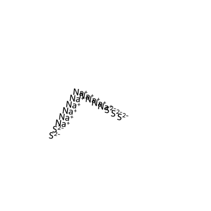 [Na+].[Na+].[Na+].[Na+].[Na+].[Na+].[Na+].[Na+].[Na+].[Na+].[S-2].[S-2].[S-2].[S-2].[S-2]